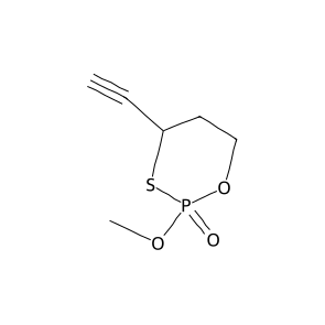 C#CC1CCOP(=O)(OC)S1